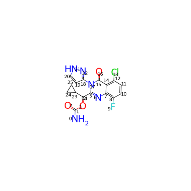 NC(=O)O[C@H](c1nc2c(F)ccc(Cl)c2c(=O)n1-c1cc[nH]n1)C1CC1